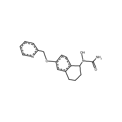 NC(=O)N(O)C1CCCc2cc(OCc3ccccn3)ccc21